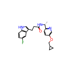 C[C@@H](NC(=O)CCc1c[nH]c2ccc(F)cc12)c1ccc(OCC2CC2)cn1